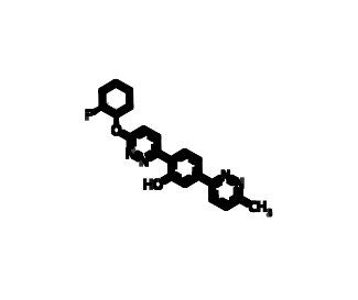 Cc1ccc(-c2ccc(-c3ccc(O[C@@H]4CCCC[C@@H]4F)nn3)c(O)c2)nn1